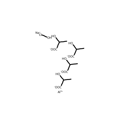 CC(O)C(=O)[O-].CC(O)C(=O)[O-].CC(O)C(=O)[O-].CC(O)C(=O)[O-].OCl.[Al+3].[Na+]